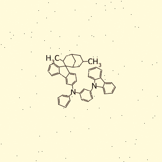 CC1CC2CC(C)C3(c4ccccc4-c4cc(N(c5ccccc5)c5cccc(-n6c7ccccc7c7ccccc76)c5)ccc43)C(C1)C2